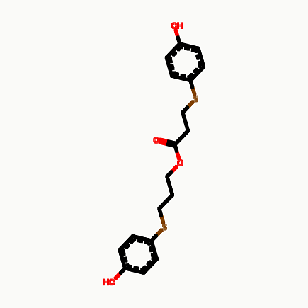 O=C(CCSc1ccc(O)cc1)OCCCSc1ccc(O)cc1